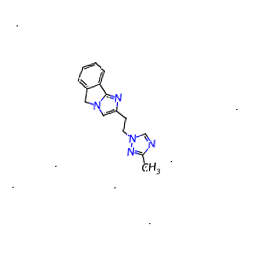 Cc1ncn(CCc2cn3c(n2)-c2ccccc2C3)n1